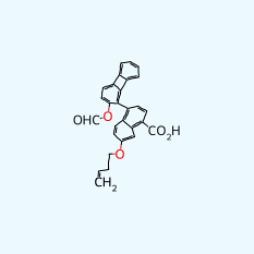 C=CCCOc1ccc2c(-c3c(OC=O)ccc4c3-c3ccccc3-4)ccc(C(=O)O)c2c1